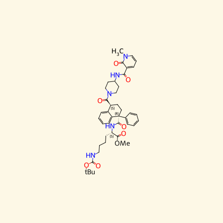 COC(=O)[C@H](CCCCNC(=O)OC(C)(C)C)NC(=O)[C@@]1(c2ccccc2)CC[C@H](C(=O)N2CCC(NC(=O)c3cccn(C)c3=O)CC2)c2ccccc21